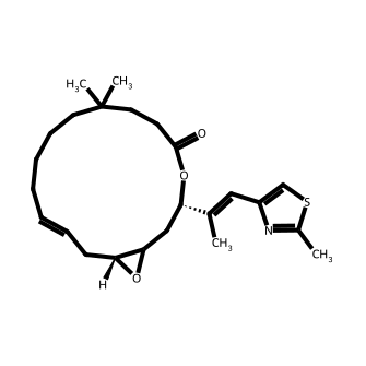 C/C(=C\c1csc(C)n1)[C@@H]1CC2O[C@@H]2C/C=C/CCCCC(C)(C)CCC(=O)O1